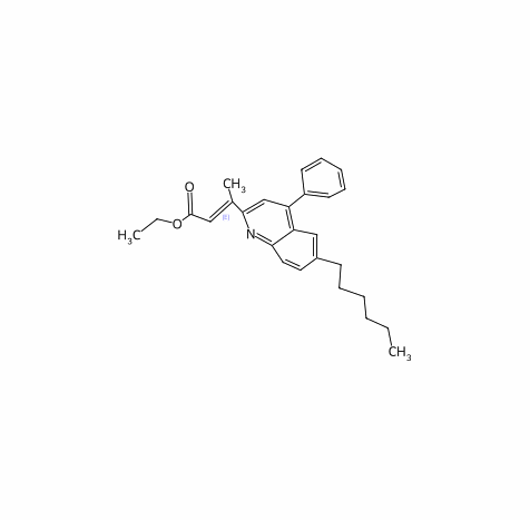 CCCCCCc1ccc2nc(/C(C)=C/C(=O)OCC)cc(-c3ccccc3)c2c1